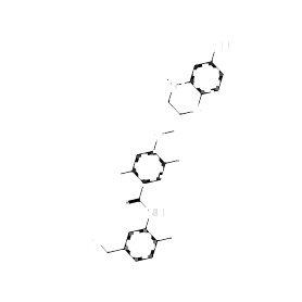 Cc1ccc2c(c1)N(C)C[C@@H](COc1cc(C)c(C(=O)Nc3cc(CC(=O)O)ccc3F)cc1F)O2